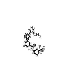 Cn1cncc1-c1cn(-c2cccc(C(=O)Nc3cccc(C(F)(F)F)c3)c2)nn1